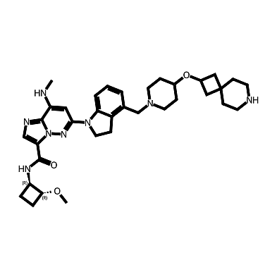 CNc1cc(N2CCc3c(CN4CCC(OC5CC6(CCNCC6)C5)CC4)cccc32)nn2c(C(=O)N[C@@H]3CC[C@H]3OC)cnc12